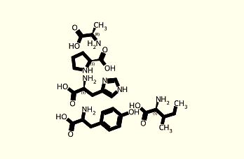 CCC(C)[C@H](N)C(=O)O.C[C@@H](N)C(=O)O.NC(Cc1ccc(O)cc1)C(=O)O.N[C@@H](Cc1c[nH]cn1)C(=O)O.O=C(O)[C@@H]1CCCN1